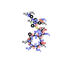 Cc1ccc(N(C(=O)N(C)c2c(F)cccc2CSSCC(=O)N[C@H](C(=O)N[C@@H](CCN)C(=O)N[C@H]2CCNC(=O)[C@H]([C@@H](C)O)NC(=O)[C@H](CCN)NC(=O)[C@H](CCN)NC(=O)[C@H](CC(C)C)NC(=O)[C@@H](Cc3ccccc3)NC(=O)[C@H](CCN)NC2=O)[C@@H](C)O)c2nccc(N(C)c3ccc4c(C)n(C)nc4c3)n2)cc1S(N)(=O)=O